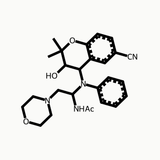 CC(=O)NC(CN1CCOCC1)N(c1ccccc1)C1c2cc(C#N)ccc2OC(C)(C)C1O